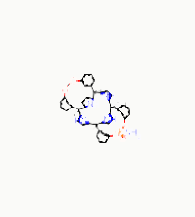 C[C@]12c3cccc(c3)OCOc3cccc(c3)[C@](C)(c3ccc1[nH]3)c1ccc([nH]1)[C@@]1(C)c3cccc(c3)O[P@](N)(=O)Oc3cccc(c3)[C@@](C)(c3ccc2[nH]3)c2ccc1[nH]2